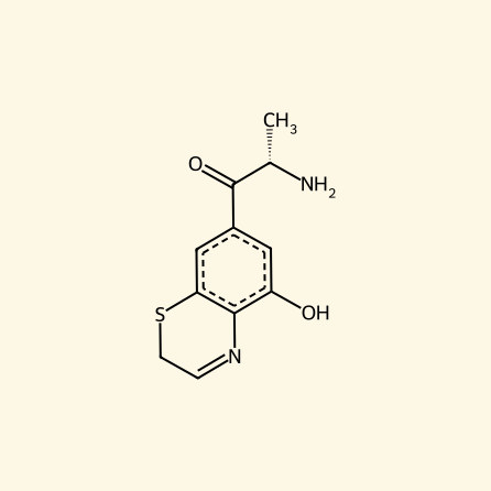 C[C@H](N)C(=O)c1cc(O)c2c(c1)SCC=N2